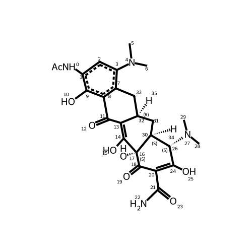 CC(=O)Nc1cc(N(C)C)c2c(c1O)C(=O)C1=C(O)[C@]3(O)C(=O)C(C(N)=O)=C(O)[C@@H](N(C)C)[C@@H]3C[C@@H]1C2